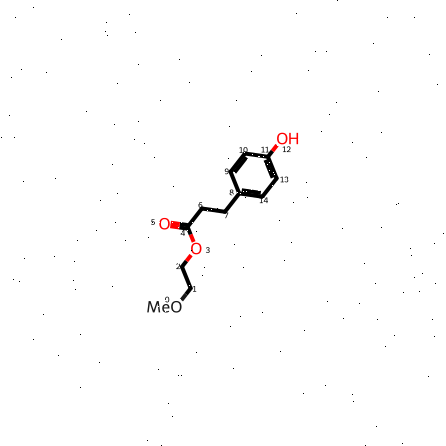 COCCOC(=O)CCc1ccc(O)cc1